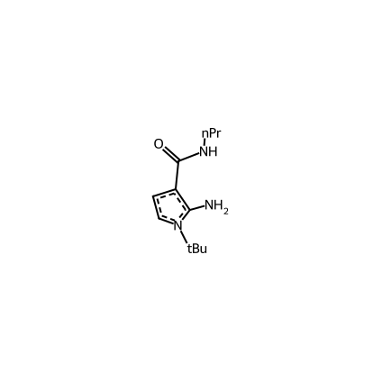 CCCNC(=O)c1ccn(C(C)(C)C)c1N